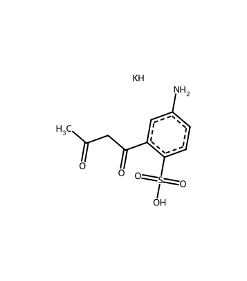 CC(=O)CC(=O)c1cc(N)ccc1S(=O)(=O)O.[KH]